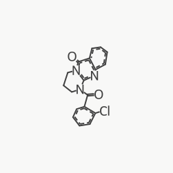 O=C(c1ccccc1Cl)N1CCCn2c1nc1ccccc1c2=O